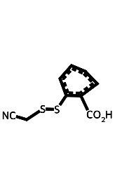 N#CCSSc1ccccc1C(=O)O